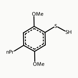 CCCc1cc(OC)c(SS)cc1OC